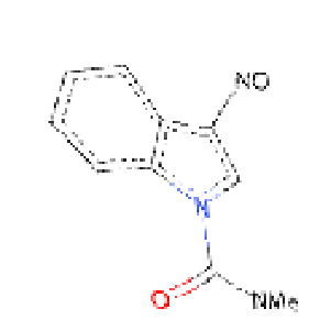 CNC(=O)n1cc(N=O)c2ccccc21